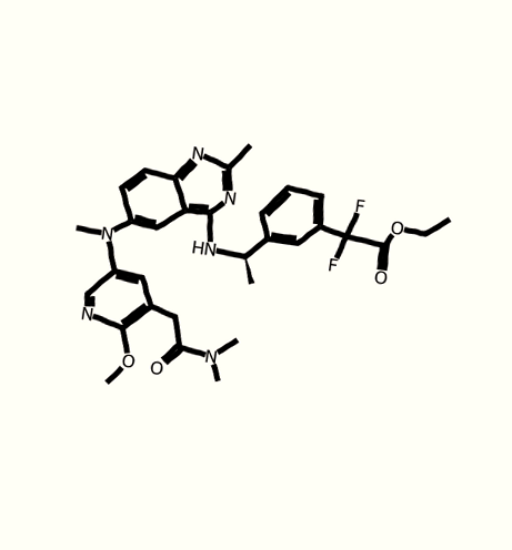 CCOC(=O)C(F)(F)c1cccc([C@@H](C)Nc2nc(C)nc3ccc(N(C)c4cnc(OC)c(CC(=O)N(C)C)c4)cc23)c1